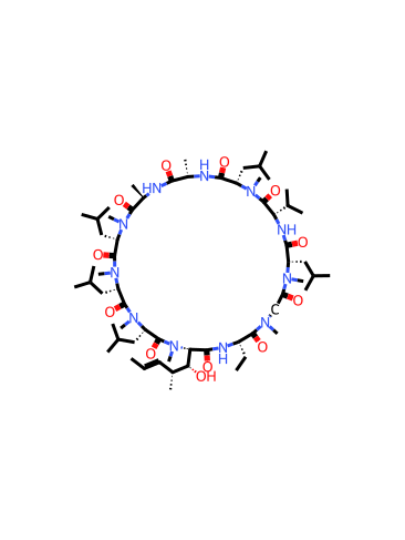 C/C=C/[C@@H](C)[C@@H](O)[C@H]1C(=O)N[C@@H](CC)C(=O)N(C)CC(=O)N(C)[C@@H](CC(C)C)C(=O)N[C@@H](C(C)C)C(=O)N(C)[C@@H](CC(C)C)C(=O)N[C@@H](C)C(=O)N[C@H](C)C(=O)N(C)[C@@H](CC(C)C)C(=O)N(C)[C@@H](CC(C)C)C(=O)N(C)[C@@H](CC(C)C)C(=O)N1C